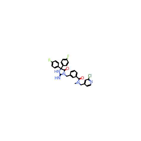 CN(Cc1ccnc(Cl)c1)C(=O)c1cccc(CN2C(=N)NC(c3ccc(F)cc3)(c3ccc(F)cc3)C2=O)c1